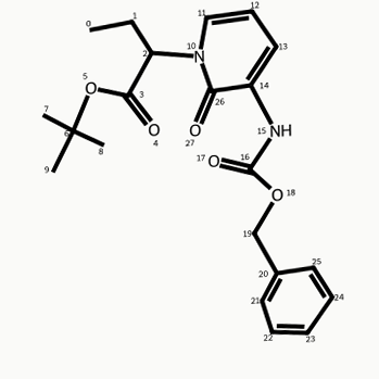 CCC(C(=O)OC(C)(C)C)n1cccc(NC(=O)OCc2ccccc2)c1=O